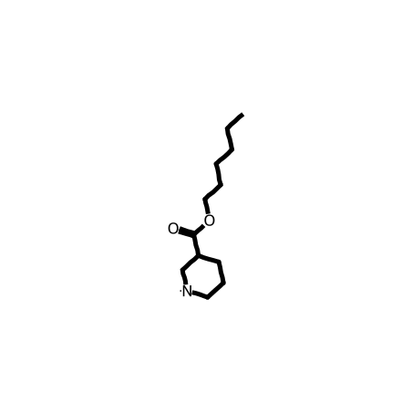 CCCCCCOC(=O)C1CCC[N]C1